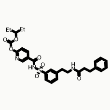 CCC(CC)OC(=O)Oc1ccc(C(=O)NS(=O)(=O)c2cccc(CCNC(=O)CCc3ccccc3)c2)cn1